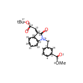 COC(=O)c1cccc(CN2C(=O)/C(=C/C(=O)OC(C)(C)C)c3ccccc32)c1